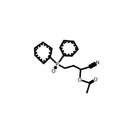 CC(=O)OC(C#N)CCP(=O)(c1ccccc1)c1ccccc1